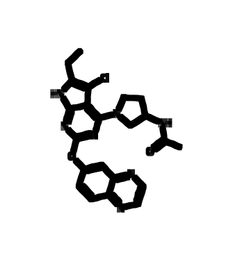 CCc1[nH]c2nc(Oc3ccc4nccnc4c3)nc(N3CCC(NC(C)=O)C3)c2c1Cl